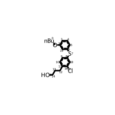 CCCCOc1cccc(Sc2ccc(CCCO)c(Cl)c2)c1